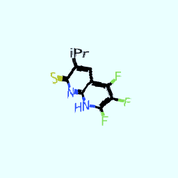 CC(C)c1cc2c(F)c(F)c(F)[nH]c-2nc1=S